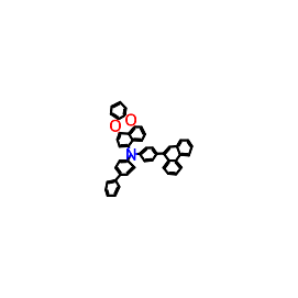 c1ccc(-c2ccc(N(c3ccc(-c4cc5ccccc5c5ccccc45)cc3)c3ccc4c5c(cccc35)Oc3ccccc3O4)cc2)cc1